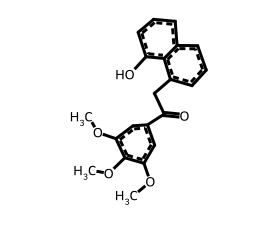 COc1cc(C(=O)Cc2cccc3cccc(O)c23)cc(OC)c1OC